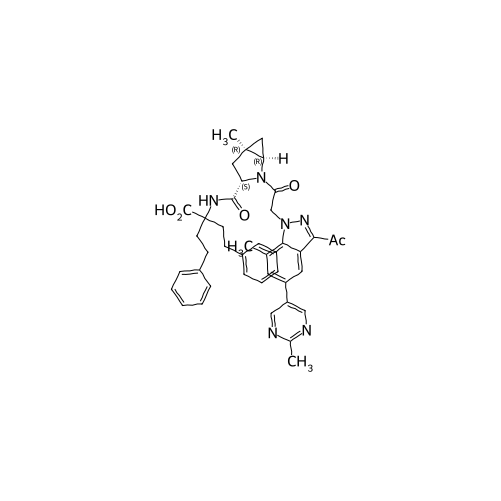 CC(=O)c1nn(CC(=O)N2[C@H](C(=O)NC(CCc3ccccc3)(CCc3ccccc3)C(=O)O)C[C@@]3(C)C[C@@H]23)c2c(C)cc(-c3cnc(C)nc3)cc12